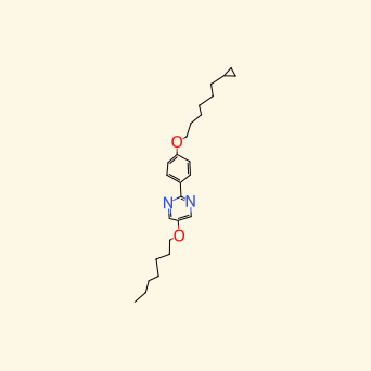 CCCCCCCOc1cnc(-c2ccc(OCCCCCCC3CC3)cc2)nc1